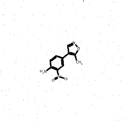 Cc1oncc1-c1ccc(N)c([N+](=O)[O-])c1